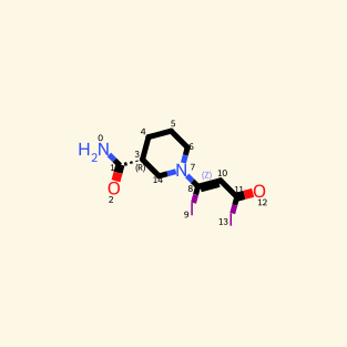 NC(=O)[C@@H]1CCCN(/C(I)=C/C(=O)I)C1